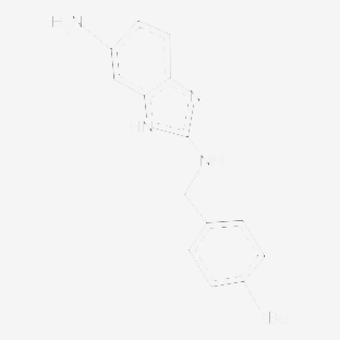 CC(C)(C)c1ccc(CNc2nc3ccc(N)cc3[nH]2)cc1